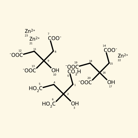 O=C(O)CC(O)(CC(=O)O)C(=O)O.O=C([O-])CC(O)(CC(=O)[O-])C(=O)[O-].O=C([O-])CC(O)(CC(=O)[O-])C(=O)[O-].[Zn+2].[Zn+2].[Zn+2]